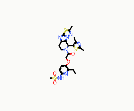 CCc1nc(NS(C)(=O)=O)ccc1OCC(=O)N1CCc2nc3sc(C)nn3c2C1c1sc(C)nc1C